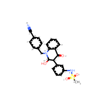 CS(=O)(=O)Nc1cccc(C2C(=O)c3ccccc3N(Cc3ccc(C#N)cc3)C2O)c1